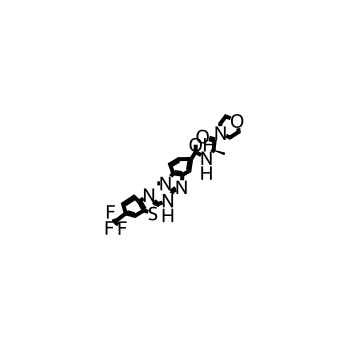 C[C@@H](NC(O)c1ccc2c(c1)nc(Nc1nc3ccc(C(F)(F)F)cc3s1)n2C)C(=O)N1CCOCC1